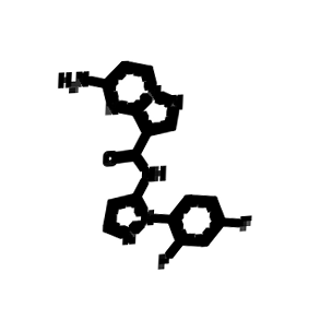 Nc1ccn2ncc(C(=O)Nc3ccnn3-c3ccc(F)cc3F)c2n1